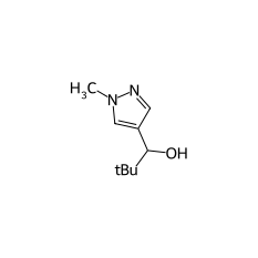 Cn1cc(C(O)C(C)(C)C)cn1